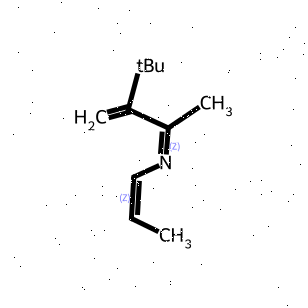 C=C(/C(C)=N\C=C/C)C(C)(C)C